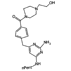 CCCCCNc1cc(Cc2ccc(C(=O)N3CCN(CCO)CC3)cc2)nc(N)n1